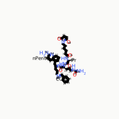 CCCCCc1cc2c(CC(CCCN(Cc3ccccc3)C(=O)O)NC(=O)[C@H](CCCNC(N)=O)NC(=O)[C@@H](NC(=O)CCCCCN3C(=O)C=CC3=O)C(C)C)cccc2nc1N